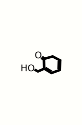 O=C1CC=CC=C1CO